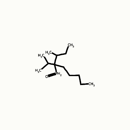 CCCCCC([PH2]=O)(C(C)C)C(C)CC